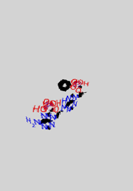 C[C@H](Cn1cnc2c(NC[C@H](Cn3cnc4c(N)ncnc43)OCP(=O)(O)O)ncnc21)OCP(=O)(O)Oc1ccccc1